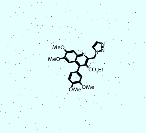 CCOC(=O)c1c(Cn2ccnn2)nc2cc(OC)c(OC)cc2c1-c1ccc(OC)c(OC)c1